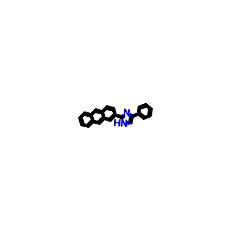 c1ccc(-c2c[nH]c(-c3ccc4cc5ccccc5cc4c3)n2)cc1